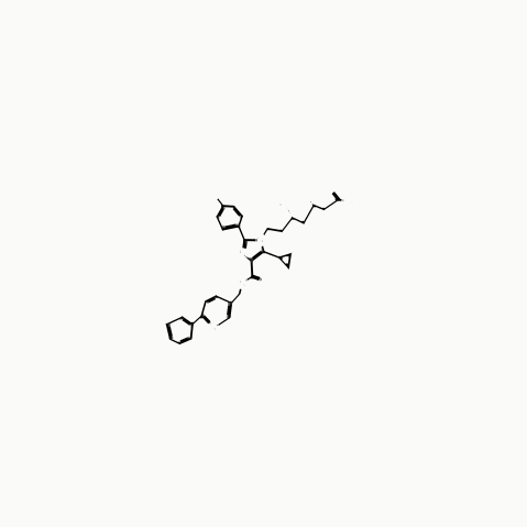 O=C(O)C[C@H](O)C[C@H](O)CCn1c(-c2ccc(F)cc2)nc(C(=O)NCc2ccc(-c3ccccc3)nc2)c1C1CC1